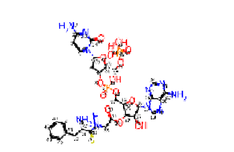 Nc1ccn([C@H]2CC(OP(=O)(O)OC[C@H]3O[C@@H](n4cnc5c(N)ncnc54)C(O)C3OC(=O)CNC(=S)[C@@H](N)Cc3ccccc3)[C@@H](COP(=O)(O)O)O2)c(=O)n1